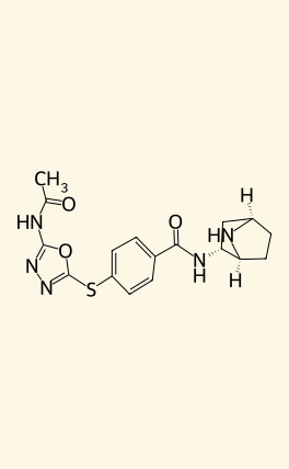 CC(=O)Nc1nnc(Sc2ccc(C(=O)N[C@@H]3C[C@H]4CC[C@@H]3N4)cc2)o1